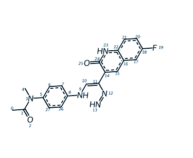 CC(=O)N(C)c1ccc(N/C=C(\N=N)c2cc3cc(F)ccc3[nH]c2=O)cc1